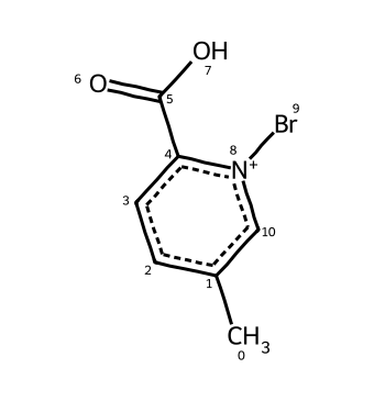 Cc1ccc(C(=O)O)[n+](Br)c1